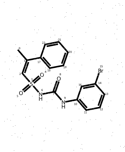 CC(=CS(=O)(=O)NC(=O)Nc1cccc(Br)c1)c1ccccc1